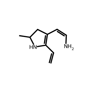 C=CC1=C(/C=C\N)CC(C)N1